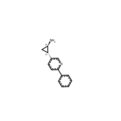 N[C@@H]1C[C@H]1c1ccc(-c2ccccc2)nc1